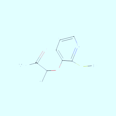 COC(=O)C(C)Oc1cccnc1SC(C)C